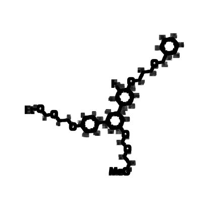 CCOCOCCOc1ccc(-c2cc(OCOCCOC)cc(-c3ccc(OCCCOCc4ccccc4)c(F)c3)c2)cc1